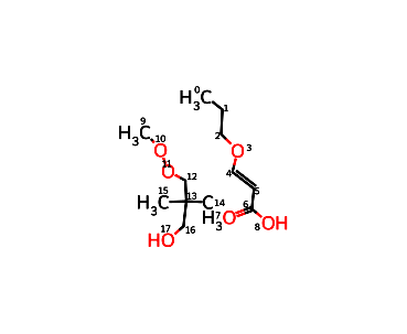 CCCOC=CC(=O)O.COOCC(C)(C)CO